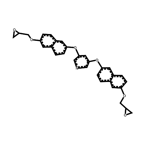 c1cc2cc(Oc3cncc(Oc4ccc5cc(OCC6CO6)ccc5c4)c3)ccc2cc1OCC1CO1